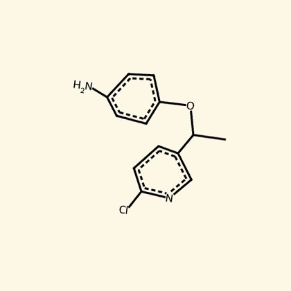 CC(Oc1ccc(N)cc1)c1ccc(Cl)nc1